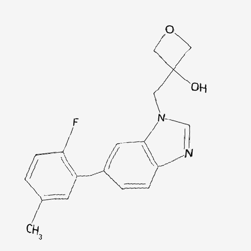 Cc1ccc(F)c(-c2ccc3ncn(CC4(O)COC4)c3c2)c1